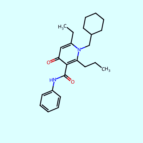 CCCc1c(C(=O)Nc2ccccc2)c(=O)cc(CC)n1CC1CCCCC1